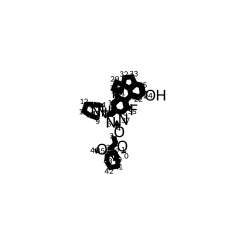 COC(COc1nc(N2CC3CCC(C2)N3)c2cc(F)c(-c3cc(O)cc4c3C3(CCC3)CC4)c(F)c2n1)CN1C2CCC1C(OC)C2